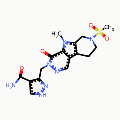 Cn1c2c(c3cnn(Cc4n[nH]cc4C(N)=O)c(=O)c31)CCN(S(C)(=O)=O)C2